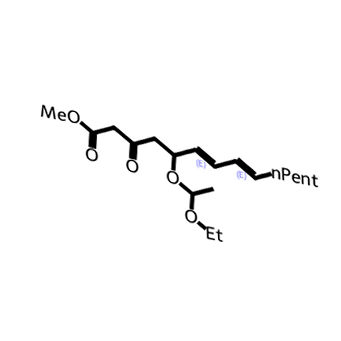 CCCCC/C=C/C=C/C(CC(=O)CC(=O)OC)OC(C)OCC